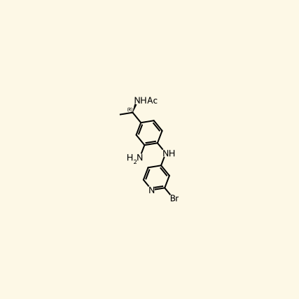 CC(=O)N[C@H](C)c1ccc(Nc2ccnc(Br)c2)c(N)c1